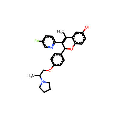 CC1=C(c2ccc(F)cn2)C(c2ccc(OC[C@H](C)N3CCCC3)cc2)Oc2ccc(O)cc21